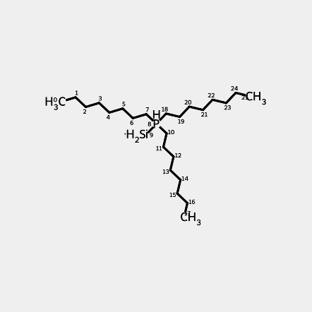 CCCCCCCC[PH]([SiH2])(CCCCCCCC)CCCCCCCC